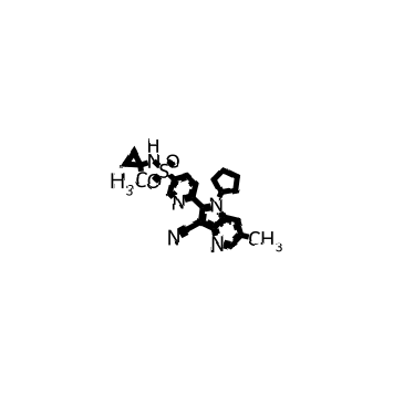 Cc1cnc2c(C#N)c(-c3ccc(S(=O)(=O)NC4(C)CC4)cn3)n(C3CCCC3)c2c1